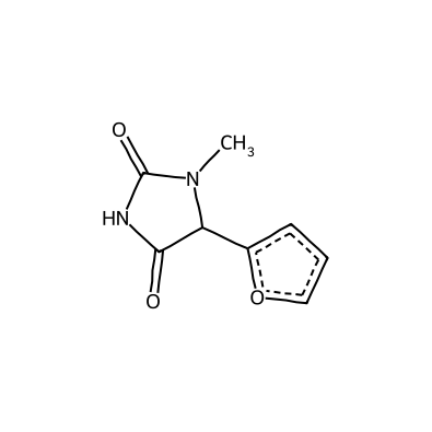 CN1C(=O)NC(=O)C1c1ccco1